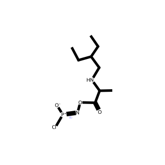 CCC(CC)CNC(C)C(=O)O/N=[P+](\[O-])Cl